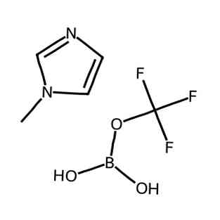 Cn1ccnc1.OB(O)OC(F)(F)F